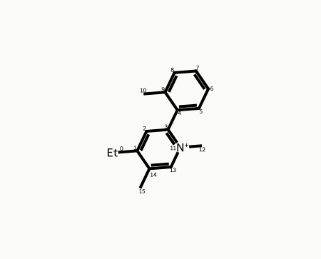 CCc1cc(-c2ccccc2C)[n+](C)cc1C